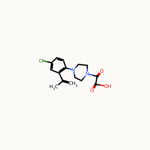 C=C(C)c1cc(Cl)ccc1N1CCN(C(=O)C(=O)O)CC1